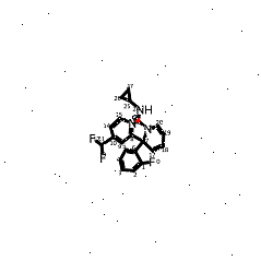 Fc1ccccc1C1(c2cc(C(F)F)ccn2)C=CC=CN1C(=S)NC1CC1